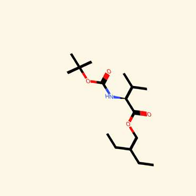 CCC(CC)COC(=O)[C@@H](NC(=O)OC(C)(C)C)C(C)C